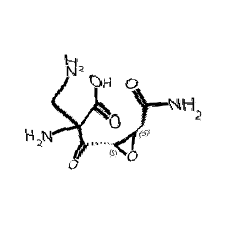 NCC(N)(C(=O)O)C(=O)[C@H]1O[C@@H]1C(N)=O